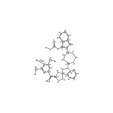 CCC(=O)Cn1c(N2CCCN(CCC3(c4ccccc4)CCN(C(=O)c4cc(OC)c(OC)c(OC)c4)C3)CC2)nc2ccccc21